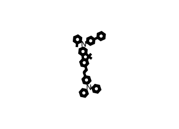 Cc1ccccc1N(c1ccc(-c2ccccc2)cc1)c1ccc2c(c1)C(C)(C)c1cc(/C=C/c3ccc(N(c4ccccc4)c4ccccc4)cc3)ccc1-2